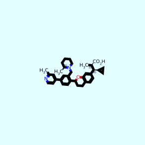 Cc1cc(-c2ccc(C3CCc4ccc([C@H](C5CC5)[C@H](C)C(=O)O)cc4O3)c(CN3CCCC[C@@H]3C)c2)ccn1